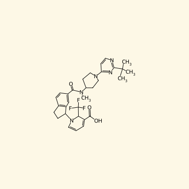 CN(C(=O)c1ccc2c(c1)C(N1C=CC=C(C(=O)O)C1C(F)(F)F)CC2)C1CCN(c2ccnc(C(C)(C)C)n2)CC1